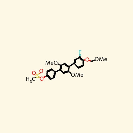 COCOc1ccc(-c2cc(OC)c(-c3ccc(OS(C)(=O)=O)cc3)cc2OC)cc1F